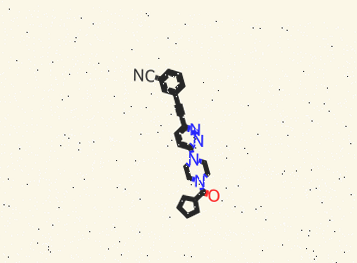 N#Cc1cccc(C#Cc2ccc(N3CCN(C(=O)C4CCCC4)CC3)nn2)c1